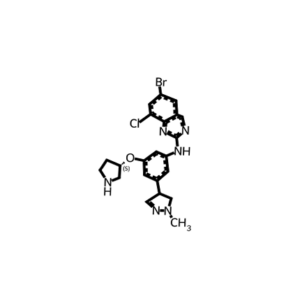 CN1CC(c2cc(Nc3ncc4cc(Br)cc(Cl)c4n3)cc(O[C@H]3CCNC3)c2)C=N1